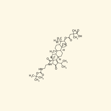 CC(C)C1=C2[C@H]3CC[C@@H]4[C@@]5(C)CC[C@H](OC(=O)CC(C)(C)C(=O)O)C(C)(C)[C@@H]5CC[C@@]4(C)[C@]3(C)CC[C@@]2(C(=O)NCCNC(=O)OC(C)(C)C)CC1=O